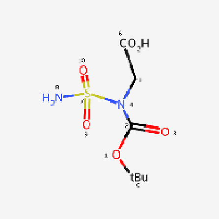 CC(C)(C)OC(=O)N(CC(=O)O)S(N)(=O)=O